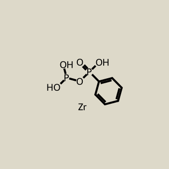 O=P(O)(OP(O)O)c1ccccc1.[Zr]